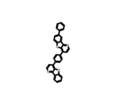 c1ccc(-c2ccc3oc4c(-c5ccc(-c6ccnc7c6oc6ccccc67)cc5)ccnc4c3c2)cc1